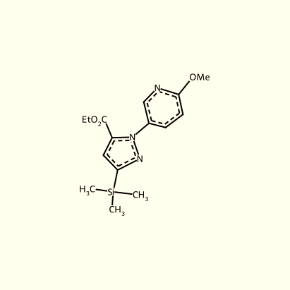 CCOC(=O)c1cc([Si](C)(C)C)nn1-c1ccc(OC)nc1